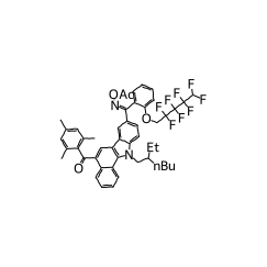 CCCCC(CC)Cn1c2ccc(/C(=N/OC(C)=O)c3ccccc3OCC(F)(F)C(F)(F)C(F)(F)C(F)F)cc2c2cc(C(=O)c3c(C)cc(C)cc3C)c3ccccc3c21